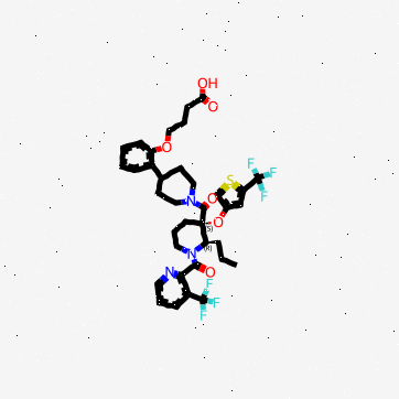 CCC[C@H]1N(C(=O)c2ncccc2C(F)(F)F)CCC[C@@]1(Oc1csc(C(F)(F)F)c1)C(=O)N1CCC(c2ccccc2OCCCC(=O)O)CC1